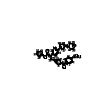 CC(C)(C)c1ccc(C(=O)N2CC3C(C2)C3CN(C(=O)Oc2cccs2)c2ccc(N3CCC(N4CCOCC4)C3)nc2)cc1